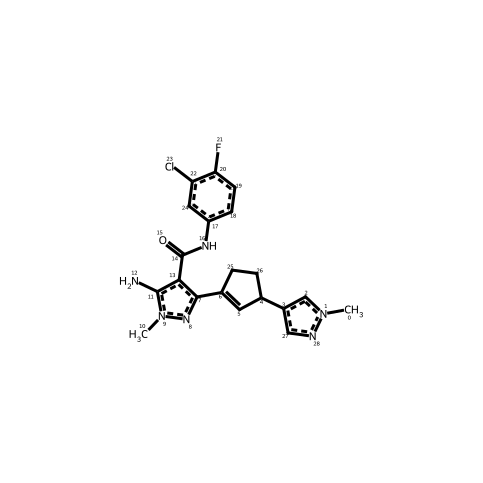 Cn1cc(C2C=C(c3nn(C)c(N)c3C(=O)Nc3ccc(F)c(Cl)c3)CC2)cn1